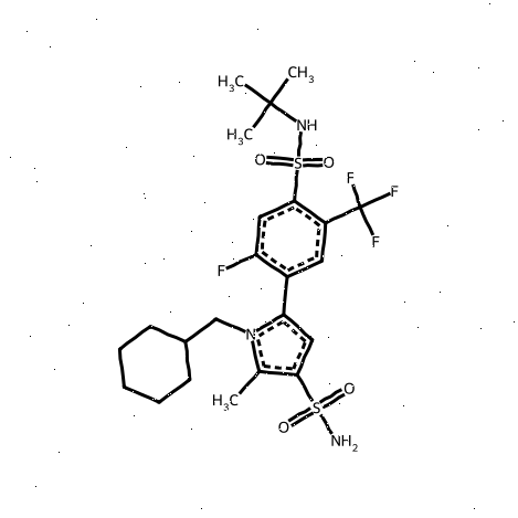 Cc1c(S(N)(=O)=O)cc(-c2cc(C(F)(F)F)c(S(=O)(=O)NC(C)(C)C)cc2F)n1CC1CCCCC1